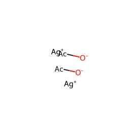 CC(=O)[O-].CC(=O)[O-].[Ag+].[Ag+]